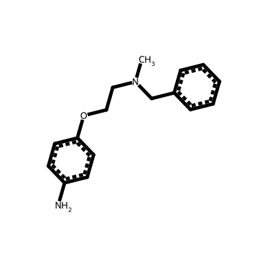 CN(CCOc1ccc(N)cc1)Cc1ccccc1